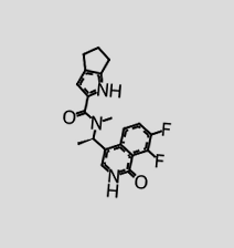 C[C@H](c1c[nH]c(=O)c2c(F)c(F)ccc12)N(C)C(=O)c1cc2c([nH]1)CCC2